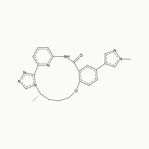 C[C@H]1CCCOc2ccc(-c3cnn(C)c3)cc2C(=O)Nc2cccc(n2)-c2nncn21